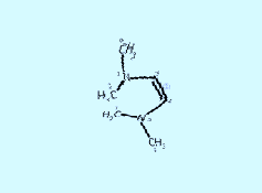 CN(C)/C=C\N(C)C